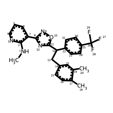 CNc1ncccc1-c1noc(C(Cc2ccc(C)c(C)c2)c2ccc(C(F)(F)F)cc2)n1